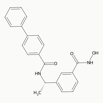 C[C@H](NC(=O)c1ccc(-c2ccccc2)cc1)c1cccc(C(=O)NO)c1